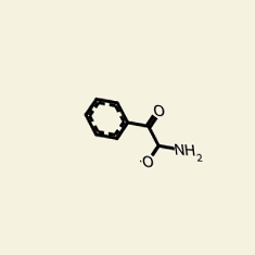 NC([O])C(=O)c1ccccc1